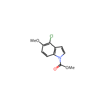 COC(=O)n1ccc2c(Cl)c(OC)ccc21